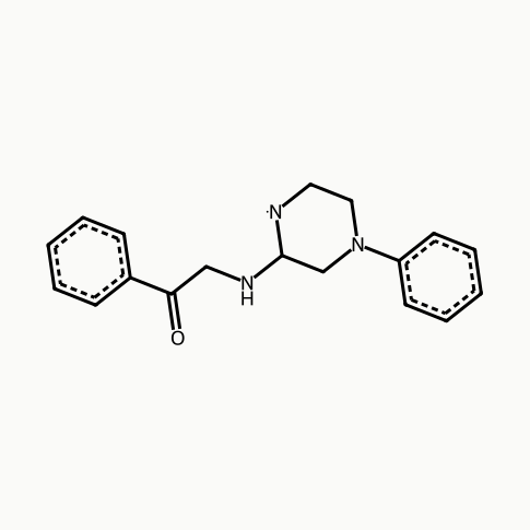 O=C(CNC1CN(c2ccccc2)CC[N]1)c1ccccc1